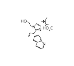 C=CCc1nccn1CCO.CC(C(=O)O)N(C)C.c1ccc2ncccc2c1